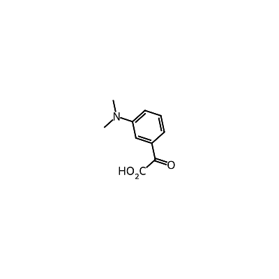 CN(C)c1cccc(C(=O)C(=O)O)c1